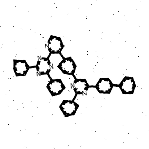 c1ccc(-c2ccc(-c3cc(-c4ccc(-c5cccnc5-c5nc(-c6ccccc6)nc(-c6ccccc6)n5)cc4)nc(-c4ccccc4)n3)cc2)cc1